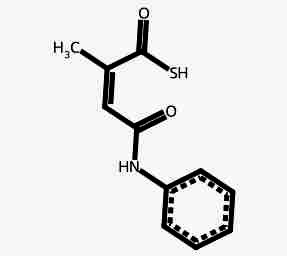 C/C(=C/C(=O)Nc1ccccc1)C(=O)S